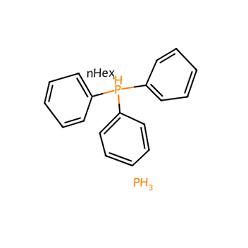 CCCCCC[PH](c1ccccc1)(c1ccccc1)c1ccccc1.P